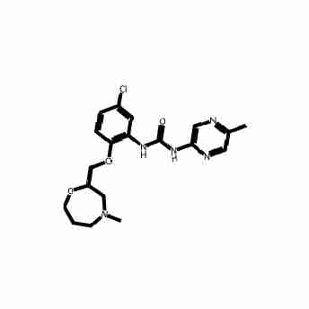 Cc1cnc(NC(=O)Nc2cc(Cl)ccc2OCC2CN(C)CCCO2)cn1